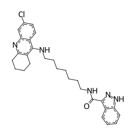 O=C(NCCCCCCCNc1c2c(nc3cc(Cl)ccc13)CCCC2)c1n[nH]c2ccccc12